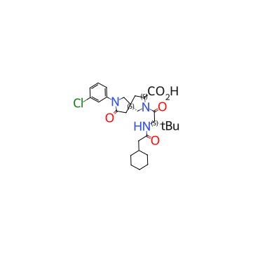 CC(C)(C)[C@H](NC(=O)CC1CCCCC1)C(=O)N1C[C@@]2(CC(=O)N(c3cccc(Cl)c3)C2)C[C@H]1C(=O)O